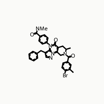 CNC(=O)c1ccc(-n2c(=O)c3c(n4ncc(Cc5ccccc5)c24)CN(C(=O)c2ccc(Br)c(C)c2)C(C)C3)cc1